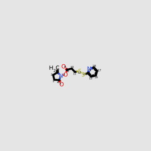 C=C1CCC(=O)N1OC(=O)CCSSc1ccccn1